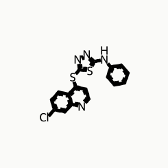 Clc1ccc2c(Sc3nnc(Nc4ccccc4)s3)ccnc2c1